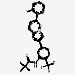 CC(C)(C)C(=O)Nc1cc(-c2cn3nc(-c4ccccc4F)ccc3n2)ccc1C(F)(F)F